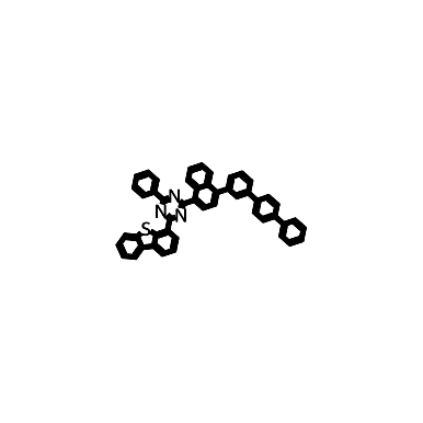 c1ccc(-c2ccc(-c3cccc(-c4ccc(-c5nc(-c6ccccc6)nc(-c6cccc7c6sc6ccccc67)n5)c5ccccc45)c3)cc2)cc1